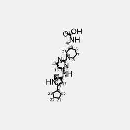 O=C(O)NC[C@@H]1CCCN(c2nccc(Nc3cc(C4CCCC4)[nH]n3)n2)C1